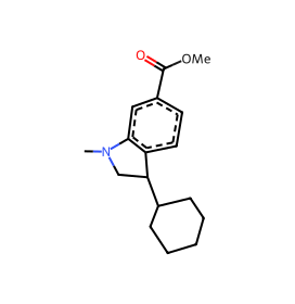 COC(=O)c1ccc2c(c1)N(C)CC2C1CCCCC1